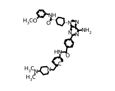 COc1cccc(NC(=O)[C@H]2CC[C@@H](n3cnc4c(N)nc(-c5ccc(C(=O)Nc6ccc(CN7CCC(N(C)C)CC7)cc6)cc5)nc43)CC2)c1